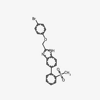 CS(=O)(=O)c1ccccc1-c1ccc2[nH]c(COc3ccc(Br)cc3)nc2c1